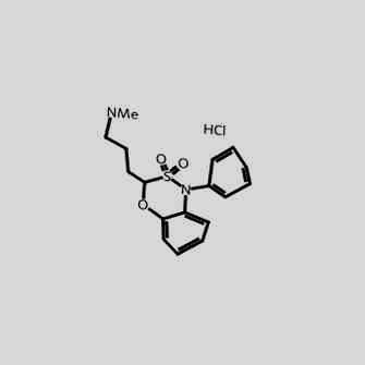 CNCCCC1Oc2ccccc2N(c2ccccc2)S1(=O)=O.Cl